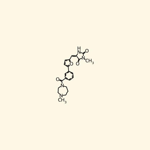 CN1CCCN(C(=O)c2cccc(-c3ccc(C=C4NC(=O)N(C)C4=O)o3)c2)CC1